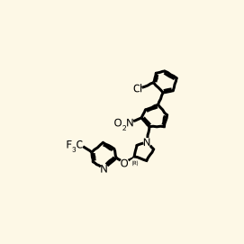 O=[N+]([O-])c1cc(-c2ccccc2Cl)ccc1N1CC[C@@H](Oc2ccc(C(F)(F)F)cn2)C1